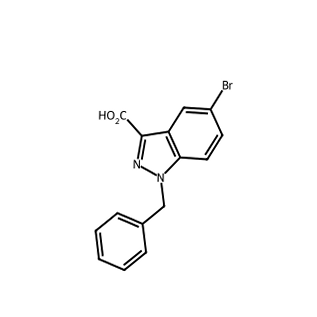 O=C(O)c1nn(Cc2ccccc2)c2ccc(Br)cc12